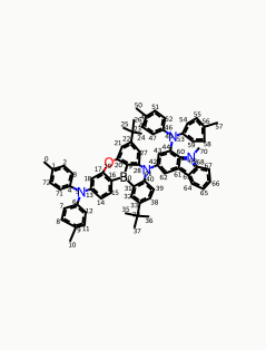 Cc1ccc(N(c2ccc(C)cc2)c2ccc3c(c2)Oc2cc(C(C)(C)C)cc4c2B3c2cc(C(C)(C)C)ccc2N4c2cc(N(c3ccc(C)cc3)c3ccc(C)cc3)c3c(c2)c2ccccc2n3C)cc1